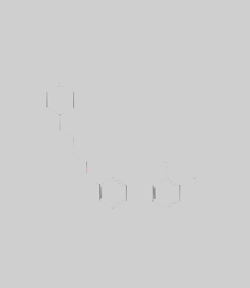 Nc1ccc(Sc2ccc(OCCCCC3CCNCC3)cc2)cc1N